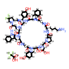 CN1C(=O)CNC(=O)[C@H](CCCCN)NC(=O)[C@H]2CCCN2C(=O)[C@H](CC(=O)O)NC(=O)[C@H](Cc2ccc(O)cc2)NC(=O)CNC(=O)[C@H](Cc2c[nH]c3ccccc23)NC(=O)[C@H](CCC(=O)N2CC(F)(F)C[C@H]2C#N)NC(=O)[C@H](Cc2ccc(O)cc2)NC(=O)[C@@H]1Cc1ccccc1.O=C(O)C(F)(F)F